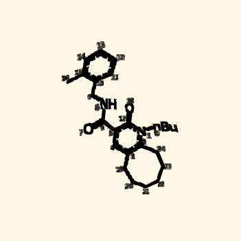 CCCCn1c2c(cc(C(=O)NCc3ccccc3C)c1=O)CCCCCC2